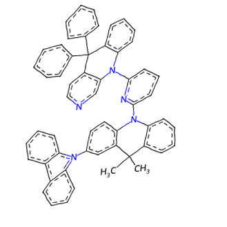 CC1(C)c2ccccc2N(c2cccc(N3c4ccccc4C(c4ccccc4)(c4ccccc4)c4ccncc43)n2)c2ccc(-n3c4ccccc4c4ccccc43)cc21